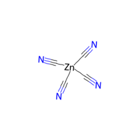 N#[C][Zn]([C]#N)([C]#N)[C]#N